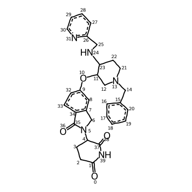 O=C1CCC(N2Cc3cc(OC4CN(Cc5ccccc5)CCC4NCc4ccccn4)ccc3C2=O)C(=O)N1